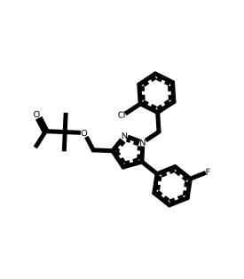 CC(=O)C(C)(C)OCc1cc(-c2cccc(F)c2)n(Cc2ccccc2Cl)n1